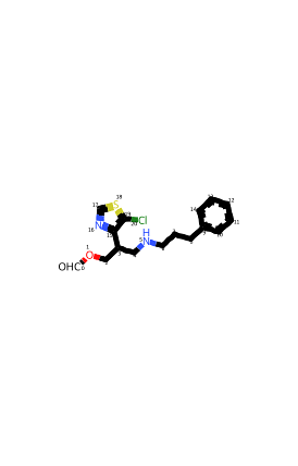 O=COCC(CNCCCc1ccccc1)c1ncsc1Cl